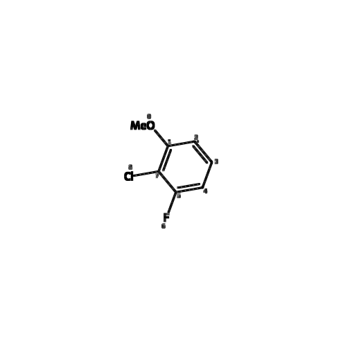 COc1[c]ccc(F)c1Cl